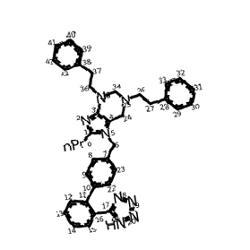 CCCc1nc2c(n1Cc1ccc(-c3ccccc3-c3nnn[nH]3)cc1)CN(CCc1ccccc1)CN2CCc1ccccc1